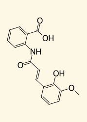 COc1cccc(C=CC(=O)Nc2ccccc2C(=O)O)c1O